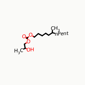 CCCCCC(C)CCCCCOC(=O)OCC(C)O